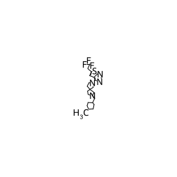 CC1CCC(CN2CCC3(CCN(c4ncnc5sc(CC(F)(F)F)cc45)C3)C2)CC1